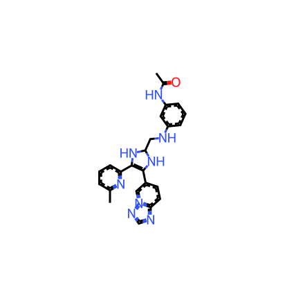 CC(=O)Nc1cccc(NCC2NC(c3ccc4ncnn4c3)=C(c3cccc(C)n3)N2)c1